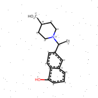 CCC(c1ccc2c(O)cccc2c1)N1CCC(C(=O)O)CC1